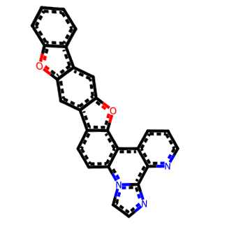 c1ccc2c(c1)oc1cc3c(cc12)oc1c3ccc2c1c1cccnc1c1nccn21